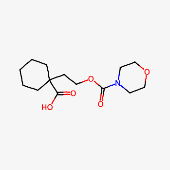 O=C(OCCC1(C(=O)O)CCCCC1)N1CCOCC1